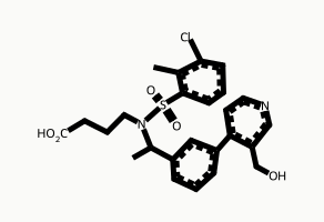 Cc1c(Cl)cccc1S(=O)(=O)N(CCCC(=O)O)C(C)c1cccc(-c2ccncc2CO)c1